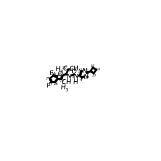 Cc1c([C@@H](NC(=O)Nc2cnc(C3CCC3)nc2)C(C)C)oc2c(F)cc(F)cc12